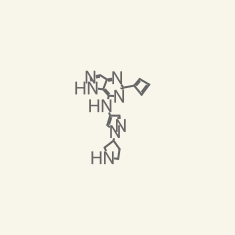 C1=CC(c2nc(Nc3cnn(C4CCNC4)c3)c3[nH]ncc3n2)=C1